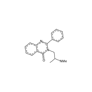 CNC(C)Cn1c(-c2ccccc2)nc2ccccc2c1=O